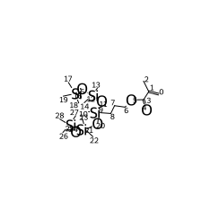 C=C(C)C(=O)OCCC[Si](C)(O[Si](C)(C)O[Si](C)(C)C)O[Si](C)(C)O[Si](C)(C)C